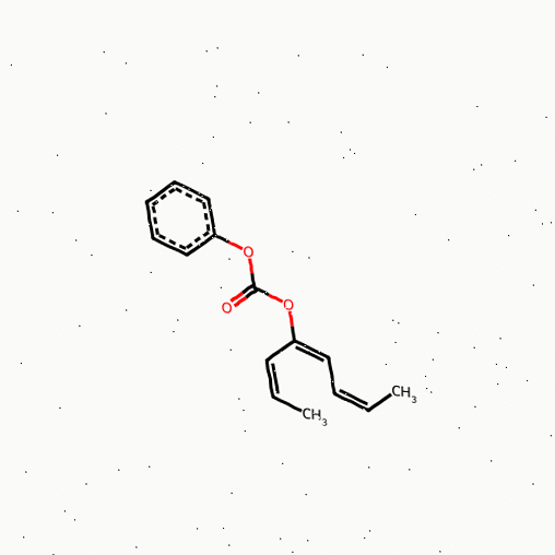 C\C=C/C=C(\C=C/C)OC(=O)Oc1ccccc1